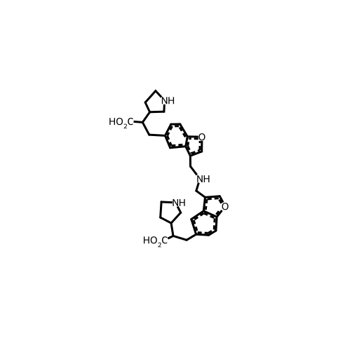 O=C(O)C(Cc1ccc2occ(CNCc3coc4ccc(CC(C(=O)O)C5CCNC5)cc34)c2c1)C1CCNC1